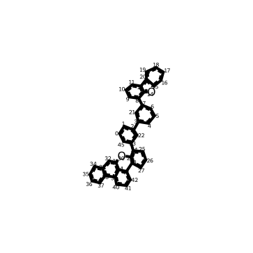 c1cc(-c2cccc(-c3cccc4c3oc3ccccc34)c2)cc(-c2cccc3c2Oc2cc4ccccc4c4cccc-3c24)c1